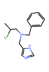 CC(Cl)CN(Cc1ccccc1)Cc1cnc[nH]1